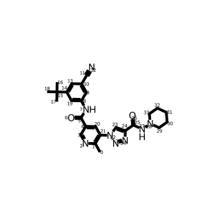 Cc1ncc(C(=O)Nc2cc(C#N)cc(C(C)(C)C)c2)cc1-n1cc(C(=O)NN2CCCCC2)nn1